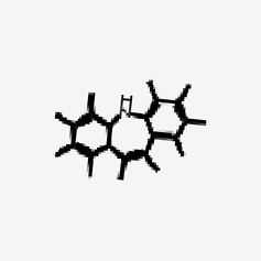 CC1=C(C)C2Nc3c(C)c(C)c(C)c(C)c3C(C)=C(C)C2C(C)=C1C